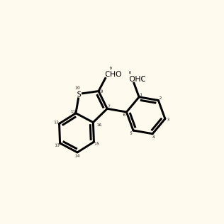 O=Cc1ccccc1-c1c(C=O)sc2ccccc12